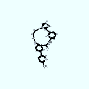 Cc1ccc(-c2ccc3c(c2)C(=O)Nc2cccc(n2)-c2nncn2CCCCO3)cn1